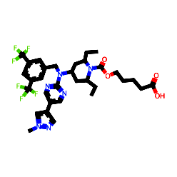 CCC1CC(N(Cc2cc(C(F)(F)F)cc(C(F)(F)F)c2)c2ncc(-c3cnn(C)c3)cn2)CC(CC)N1C(=O)OCCCCC(=O)O